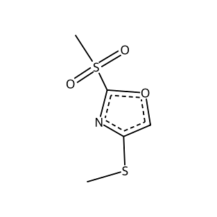 CSc1coc(S(C)(=O)=O)n1